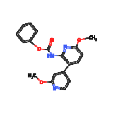 COc1cc(-c2ccc(OC)nc2NC(=O)Oc2ccccc2)ccn1